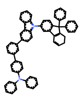 C1=CC2=C(CC1)C(c1ccccc1)(c1ccccc1)c1ccc(-n3c4ccccc4c4cc(-c5cccc(-c6ccc(N(c7ccccc7)c7ccccc7)cc6)c5)ccc43)cc12